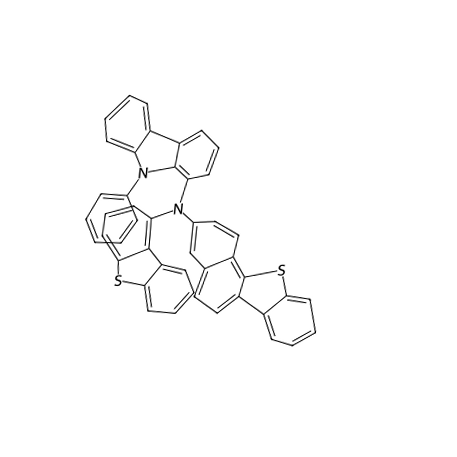 c1ccc(-n2c3ccccc3c3cccc(N(c4ccc5c(ccc6c7ccccc7sc56)c4)c4cccc5sc6ccccc6c45)c32)cc1